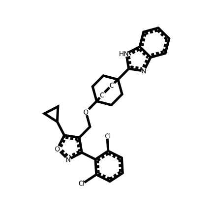 Clc1cccc(Cl)c1-c1noc(C2CC2)c1COC12CCC(c3nc4ccccc4[nH]3)(CC1)CC2